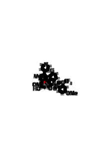 CNC(=O)[C@@H]1C[C@@H](O)C[N+]1(C)C1(c2cc(-c3ccncc3)ccc2OC)C(=O)N(S(=O)(=O)c2ccc(OC)cc2OC(F)(F)F)c2ccc(Cl)cc21